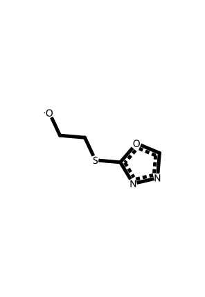 [O]CCSc1nnco1